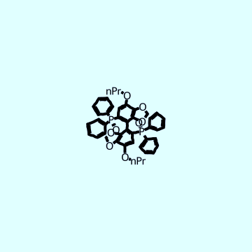 CCCOc1cc(P(=O)(c2ccccc2)c2ccccc2)c(-c2c(P(=O)(c3ccccc3)c3ccccc3)cc(OCCC)c3c2OCO3)c2c1OCO2